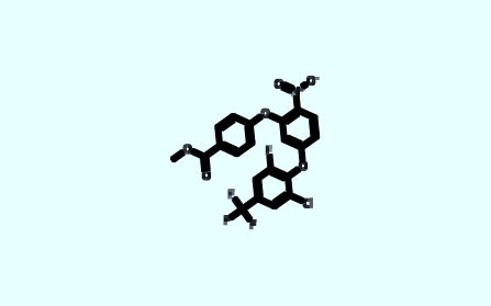 COC(=O)c1ccc(Oc2cc(Oc3c(F)cc(C(F)(F)F)cc3Cl)ccc2[N+](=O)[O-])cc1